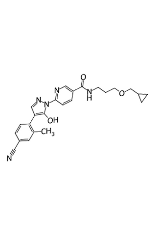 Cc1cc(C#N)ccc1-c1cnn(-c2ccc(C(=O)NCCCOCC3CC3)cn2)c1O